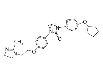 CC1=NCCN1CCOc1ccc(-n2ccn(-c3ccc(OC4CCCC4)cc3)c2=O)cc1